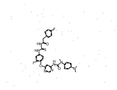 CN(C)c1ccc(N(C)C(=O)Nc2cc(Oc3ccc(NC(=S)NC(=O)Cc4ccc(F)cc4)cc3F)ncn2)cc1